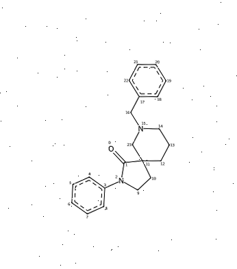 O=C1N(c2ccccc2)CCC12CCCN(Cc1ccccc1)C2